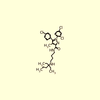 C=CCC(CC)(CC)NCCCCNC(=O)c1nn(-c2ccc(Cl)cc2Cl)c(-c2ccc(Cl)cc2)c1C